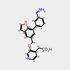 NCc1cccc(-c2cc(COc3cnccc3CC(=O)O)cc3ccoc23)c1